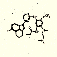 C=CC(=O)Nc1cc(Nc2nccc(-c3cn4c5c(c(Cl)ccc35)CCC4)n2)c(OC(F)(F)F)cc1N(C)CCN(C)C